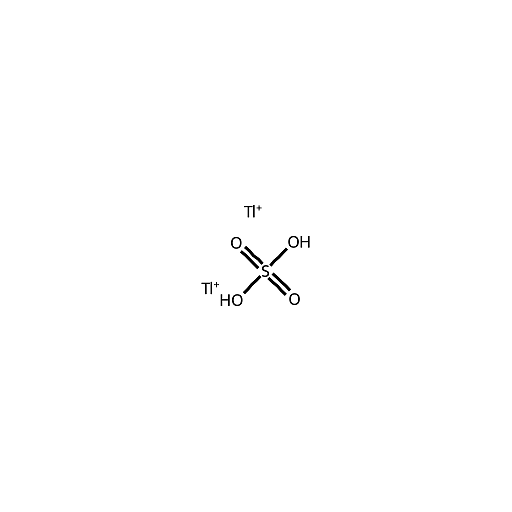 O=S(=O)(O)O.[Tl+].[Tl+]